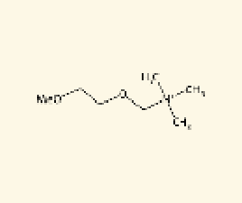 COCCOC[N+](C)(C)C